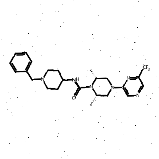 C[C@@H]1CN(c2cncc(C(F)(F)F)n2)C[C@H](C)N1C(=O)NC1CCN(Cc2ccccc2)CC1